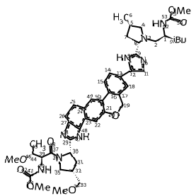 CC[C@H](C)[C@@H](CN1C[C@@H](C)C[C@H]1c1ncc(-c2ccc3c(c2)COc2cc4c(ccc5nc([C@@H]6C[C@H](COC)CN6C(=O)[C@@H](NC(=O)OC)[C@@H](C)OC)[nH]c54)cc2-3)[nH]1)NC(=O)OC